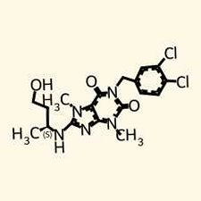 C[C@@H](CCO)Nc1nc2c(c(=O)n(Cc3ccc(Cl)c(Cl)c3)c(=O)n2C)n1C